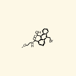 COCCNC(=O)c1cccc2c(CBr)c3ccccc3c(C(=O)O)c12